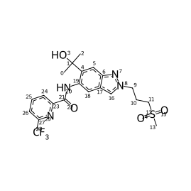 CC(C)(O)c1cc2nn(CCCS(C)(=O)=O)cc2cc1NC(=O)c1cccc(C(F)(F)F)n1